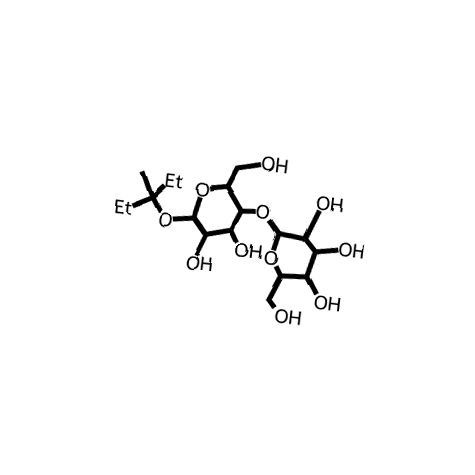 CCC(C)(CC)OC1OC(CO)C(OC2OC(CO)C(O)C(O)C2O)C(O)C1O